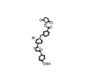 COc1ccc(-c2cnc(-c3cc[n+](Cc4cccc(C(=O)ON5C(=O)CCC5=O)c4)cc3)o2)cc1.[Br-]